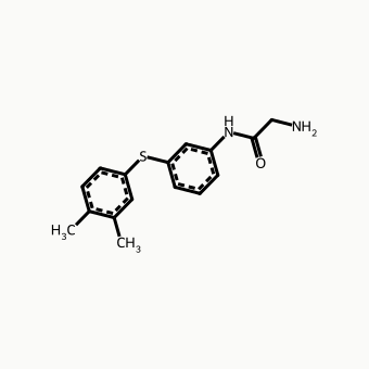 Cc1ccc(Sc2cccc(NC(=O)CN)c2)cc1C